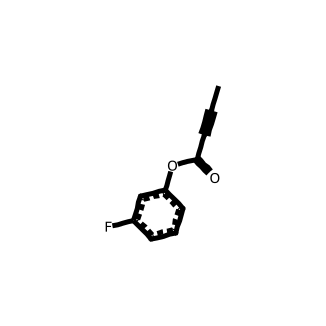 CC#CC(=O)Oc1cccc(F)c1